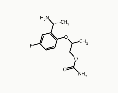 CC(COC(N)=O)Oc1ccc(F)cc1[C@@H](C)N